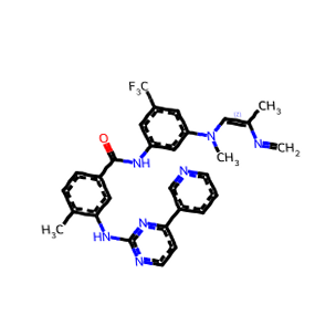 C=N/C(C)=C\N(C)c1cc(NC(=O)c2ccc(C)c(Nc3nccc(-c4cccnc4)n3)c2)cc(C(F)(F)F)c1